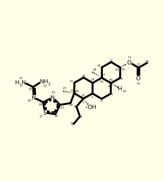 CCC[C@]1(O)C2CC[C@@H]3C[C@@H](OC(C)=O)CC[C@]3(C)C2CC[C@]1(C)Cc1csc(N=C(N)N)n1